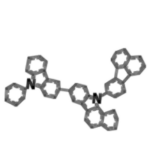 c1ccc(-n2c3ccccc3c3cc(-c4ccc5c(c4)c4ccc6ccccc6c4n5-c4ccc5c(c4)-c4cccc6cccc-5c46)ccc32)cc1